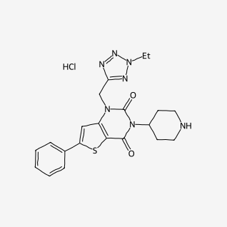 CCn1nnc(Cn2c(=O)n(C3CCNCC3)c(=O)c3sc(-c4ccccc4)cc32)n1.Cl